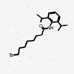 CC(C)c1cccc(C(C)C)c1NC(=O)CCCCCCCBr